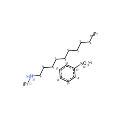 CC(C)CCCCCCCCCNC(C)C.O=S(=O)(O)c1ccccc1